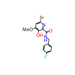 COc1cc(Br)nc(C(=O)NCc2ccc(F)cc2)c1O